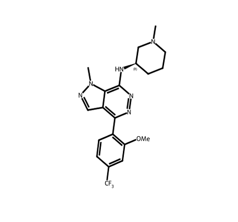 COc1cc(C(F)(F)F)ccc1-c1nnc(N[C@@H]2CCCN(C)C2)c2c1cnn2C